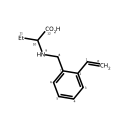 C=Cc1ccccc1CNC(CC)C(=O)O